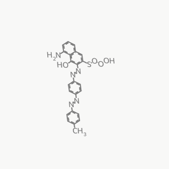 Cc1ccc(N=Nc2ccc(N=Nc3c(SOOO)cc4cccc(N)c4c3O)cc2)cc1